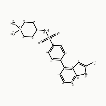 CCc1cc2c(-c3ccc(S(=O)(=O)NC4CCS(O)(O)CC4)cc3)ccnc2[nH]1